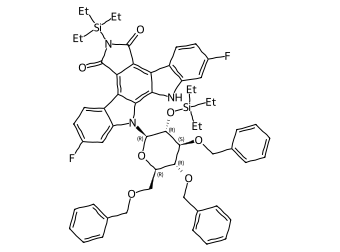 CC[Si](CC)(CC)O[C@@H]1[C@@H](OCc2ccccc2)[C@H](OCc2ccccc2)[C@@H](COCc2ccccc2)O[C@H]1n1c2cc(F)ccc2c2c3c(c4c5ccc(F)cc5[nH]c4c21)C(=O)N([Si](CC)(CC)CC)C3=O